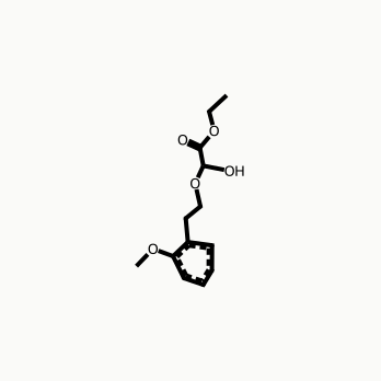 CCOC(=O)C(O)OCCc1ccccc1OC